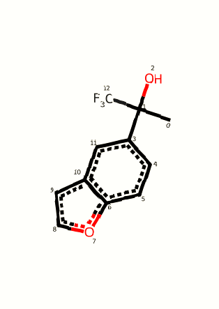 CC(O)(c1ccc2occc2c1)C(F)(F)F